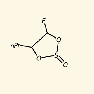 CCCC1OS(=O)OC1F